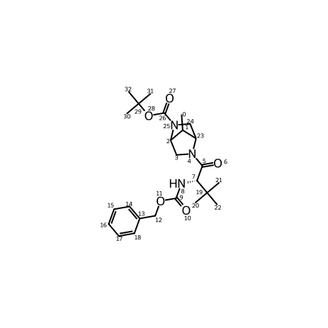 CC1C2CN(C(=O)[C@@H](NC(=O)OCc3ccccc3)C(C)(C)C)C1CN2C(=O)OC(C)(C)C